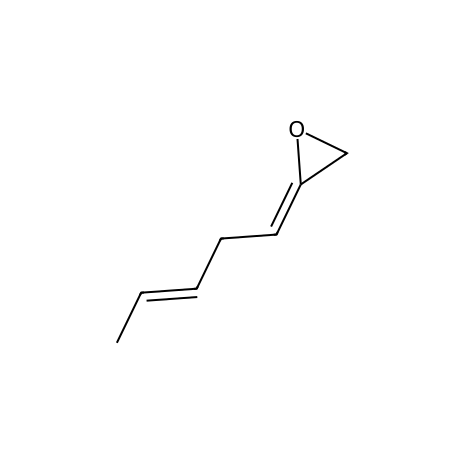 CC=CCC=C1CO1